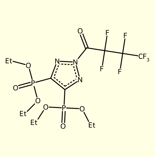 CCOP(=O)(OCC)c1nn(C(=O)C(F)(F)C(F)(F)C(F)(F)F)nc1P(=O)(OCC)OCC